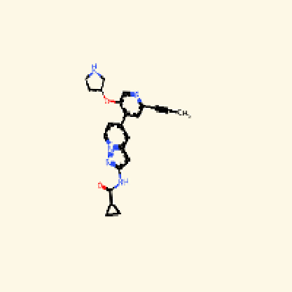 CC#Cc1cc(-c2ccn3nc(NC(=O)C4CC4)cc3c2)c(O[C@H]2CCNC2)cn1